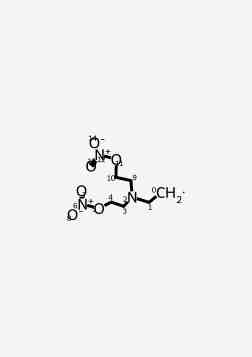 [CH2]CN(CCO[N+](=O)[O-])CCO[N+](=O)[O-]